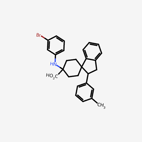 Cc1cccc(C2Cc3ccccc3C23CCC(Nc2cccc(Br)c2)(C(=O)O)CC3)c1